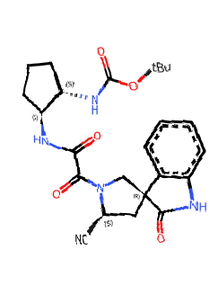 CC(C)(C)OC(=O)N[C@H]1CCC[C@@H]1NC(=O)C(=O)N1C[C@]2(C[C@H]1C#N)C(=O)Nc1ccccc12